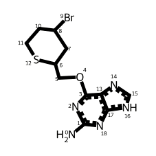 Nc1nc(OCC2CC(Br)CCS2)c2nc[nH]c2n1